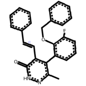 Cc1n[nH]c(=O)c(/C=C/c2ccccc2)c1-c1cccc(F)c1OCc1ccccc1